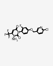 Nn1c(C(F)(F)F)cc(=O)n(-c2ccc(OCc3ccc(Cl)nc3)cc2F)c1=O